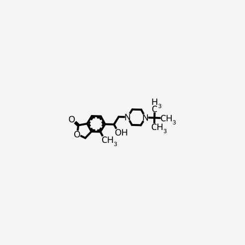 Cc1c(C(O)CN2CCN(C(C)(C)C)CC2)ccc2c1COC2=O